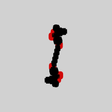 CC(C)(C)c1cc2c(c(C(C)(C)C)c1)OC(=O)C2c1ccc(OCCCCCCCCCCOc2ccc(C3C(=O)Oc4c3cc(C(C)(C)C)cc4C(C)(C)C)cc2)cc1